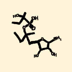 BC1OC(CC(C)(CC)OP(=O)(O)C(C)(O)CC)C(O)C1O